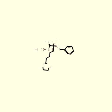 NNC(=O)C(CCCCC1OCCO1)(OCc1ccccc1)C(F)(F)F